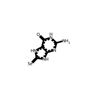 Nc1nc2[nH]c(=[Se])[nH]c2c(=O)[nH]1